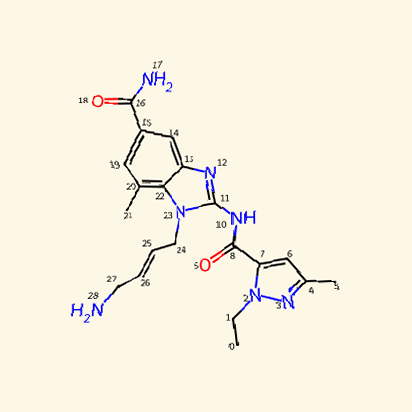 CCn1nc(C)cc1C(=O)Nc1nc2cc(C(N)=O)cc(C)c2n1CC=CCN